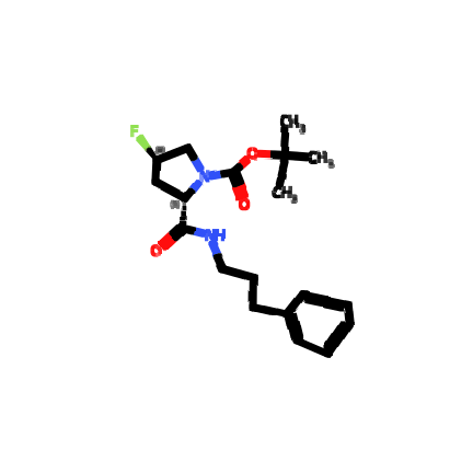 CC(C)(C)OC(=O)N1C[C@H](F)C[C@H]1C(=O)NCCCc1ccccc1